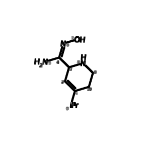 CC(C)C1=CC(/C(N)=N\O)NCC1